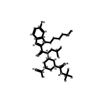 COCCCCn1c(C(=O)N(CC(C)C)[C@H]2C[C@@H](C(C)=O)CN(C(=O)OC(C)(C)C)C2)nc2ccc(F)cc21